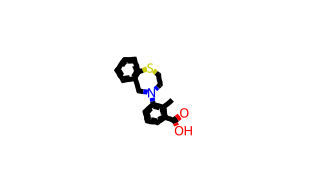 Cc1c(C(=O)O)cccc1N1CCSc2ccccc2C1